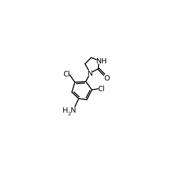 Nc1cc(Cl)c(N2CCNC2=O)c(Cl)c1